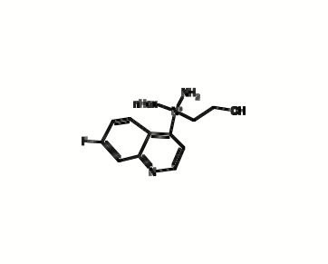 CCCCCC[N+](N)(CCO)c1ccnc2cc(F)ccc12